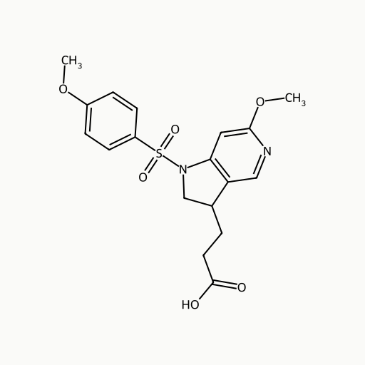 COc1ccc(S(=O)(=O)N2CC(CCC(=O)O)c3cnc(OC)cc32)cc1